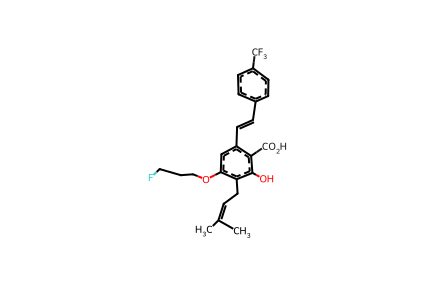 CC(C)=CCc1c(OCCCF)cc(C=Cc2ccc(C(F)(F)F)cc2)c(C(=O)O)c1O